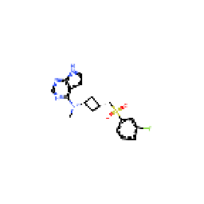 CN(c1ncnc2[nH]ccc12)[C@H]1C[C@@H](CS(=O)(=O)c2cccc(F)c2)C1